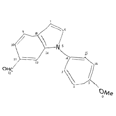 COc1ccc(-n2ccc3ccc(C=O)cc32)cc1